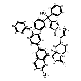 C=C[C@@H](Cn1cc(C(O)(c2ccccc2)c2ccccc2)nn1)[C@H]1CCN2C(=O)S[C@@H](c3cc(-c4ccc(Oc5ccccc5)cc4)nc4ccc(C)cc34)[C@@H]2C1